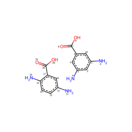 Nc1cc(N)cc(C(=O)O)c1.Nc1ccc(N)c(C(=O)O)c1